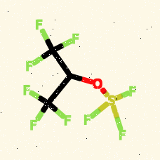 FC(F)(F)C(OS(F)(F)F)C(F)(F)F